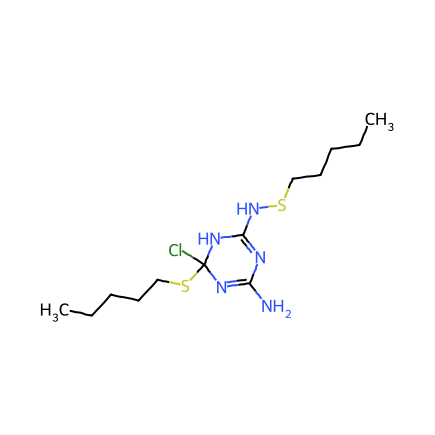 CCCCCSNC1=NC(N)=NC(Cl)(SCCCCC)N1